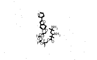 CC(C)(N)CC(N)C(C)(C)C(=O)OCC(F)(F)OC(F)(F)OC(F)(F)OC(F)(F)COc1ccc2cc(-c3cccnc3)oc2c1